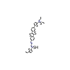 C=C/C=C(\SC=C)c1ccc(-c2ccc3c(c2)sc2c4ccc(/C=C/C=C(\S)c5ccc(C=C)s5)cc4sc32)s1